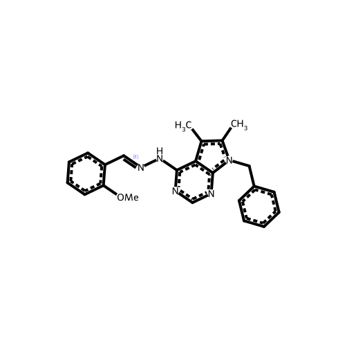 COc1ccccc1/C=N/Nc1ncnc2c1c(C)c(C)n2Cc1ccccc1